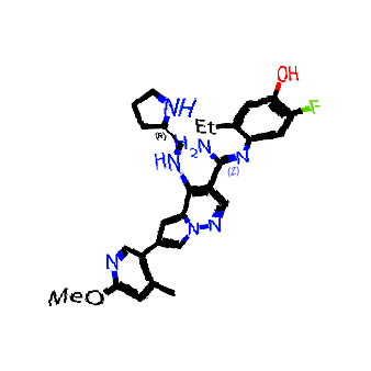 CCc1cc(O)c(F)cc1/N=C(\N)c1cnn2cc(-c3cnc(OC)cc3C)cc2c1NC[C@H]1CCCN1